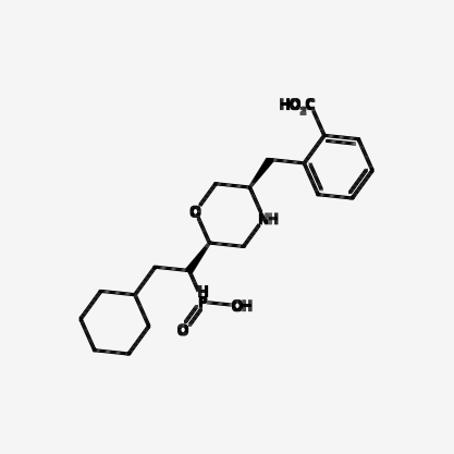 O=C(O)c1ccccc1C[C@@H]1CO[C@H](C(CC2CCCCC2)[PH](=O)O)CN1